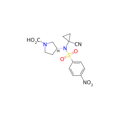 N#CC1(N([C@@H]2CCN(C(=O)O)C2)S(=O)(=O)c2ccc([N+](=O)[O-])cc2)CC1